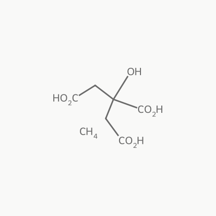 C.O=C(O)CC(O)(CC(=O)O)C(=O)O